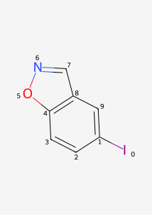 Ic1ccc2oncc2c1